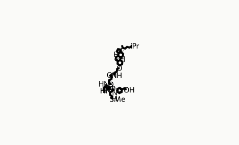 CSCCC(NC(=O)C(CC(C)C)NC(=O)CCC(=O)NCCCO[C@H]1CC[C@@]2(C)C(=CC[C@H]3[C@@H]4CC[C@H](C(C)CCCC(C)C)[C@@]4(C)CC[C@@H]32)C1)C(=O)Nc1ccc(CO)cc1